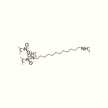 C[C-](C)[N+](=O)[O-].C[C-](C)[N+](=O)[O-].[NH3+]CCCCCCCCCCCC[NH3+]